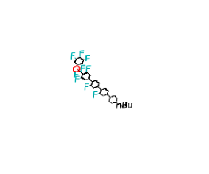 CCCCC1CCC(c2ccc(-c3ccc(-c4cc(F)c(C(F)(F)Oc5cc(F)c(F)c(F)c5)c(F)c4)c(F)c3)c(F)c2)CC1